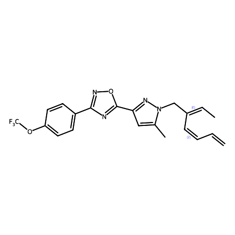 C=C/C=C\C(=C/C)Cn1nc(-c2nc(-c3ccc(OC(F)(F)F)cc3)no2)cc1C